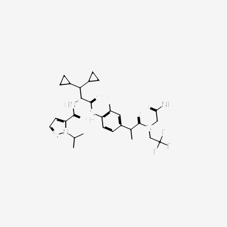 CC(C(=O)N(CC(N)=O)CC(F)(F)F)c1ccc(NC(=O)[C@@H](NC(=O)c2ccnn2C(C)C)C(C2CC2)C2CC2)c(F)c1